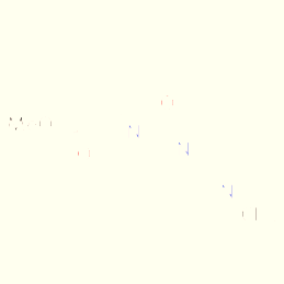 COC(=O)c1cccc2oc(N3CCN(C)CC3)nc12